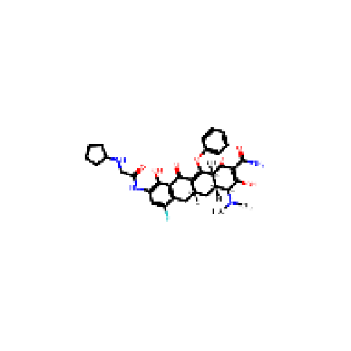 CN(C)[C@@H]1C(O)=C(C(N)=O)C(=O)[C@@]2(C)C(Oc3ccccc3)=C3C(=O)c4c(O)c(NC(=O)CNC5CCCC5)cc(F)c4C[C@H]3C[C@@H]12